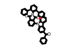 O=C(c1ccccc1)c1ccc2c(c1)c1ccccc1n2-c1cccc2c1C(=O)N(c1c(-c3ccccc3)cccc1-c1ccccc1)C2=O